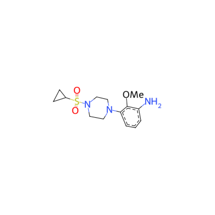 COc1c(N)cccc1N1CCN(S(=O)(=O)C2CC2)CC1